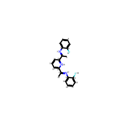 CC(=Nc1ccccc1F)c1cccc(C(C)=Nc2ccccc2F)n1